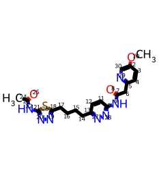 COc1ccc(CC(=O)Nc2ccc(CCCCc3nnc(NC(C)=O)s3)nn2)nc1